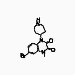 Cn1c(=O)c(=O)n(C2CCNCC2)c2ccc(Br)cc21